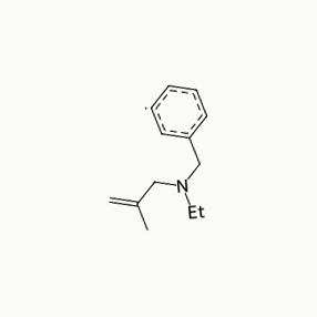 C=C(C)CN(CC)Cc1c[c]ccc1